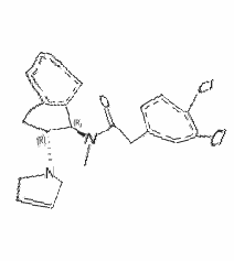 CN(C(=O)Cc1ccc(Cl)c(Cl)c1)[C@@H]1c2ccccc2C[C@H]1N1CC=CC1